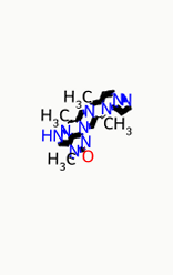 CC[C@H]1CN(C(C)c2ccn3nccc3n2)[C@H](CC)CN1c1nc(=O)n(C)c2c[nH]nc12